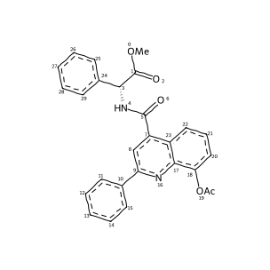 COC(=O)[C@H](NC(=O)c1cc(-c2ccccc2)nc2c(OC(C)=O)cccc12)c1ccccc1